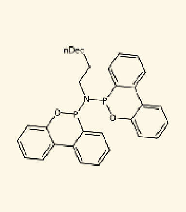 CCCCCCCCCCCCN(P1Oc2ccccc2-c2ccccc21)P1Oc2ccccc2-c2ccccc21